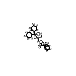 CC(OC(=O)COC(=O)C1CC2C=CC1C2O)(C1CCCCC1)C1CCCCC1